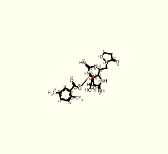 N=C1NC2C(CN3OCCC3=O)NC(=N)N3C[C@H](OC(=O)c4cc(C(F)(F)F)ccc4C(F)(F)F)C(O)(O)[C@]23N1